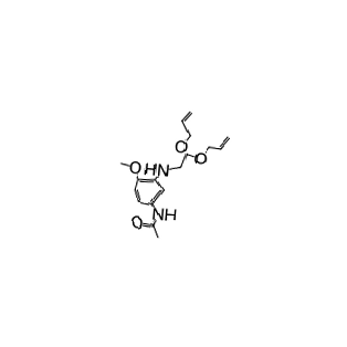 C=CCOC(CNc1cc(NC(C)=O)ccc1OC)OCC=C